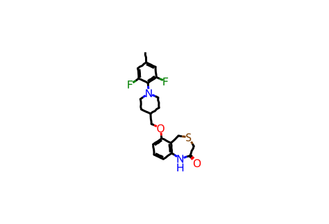 Cc1cc(F)c(N2CCC(COc3cccc4c3CSCC(=O)N4)CC2)c(F)c1